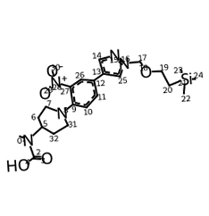 CN(C(=O)O)C1CCN(c2ccc(-c3cnn(COCC[Si](C)(C)C)c3)cc2[N+](=O)[O-])CC1